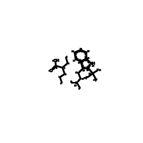 CCCC(CC)C(=O)O.CN(C)CCc1c(C(F)(F)F)[nH]c2ccccc12